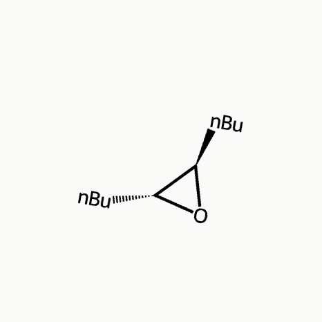 CCCC[C@H]1O[C@@H]1CCCC